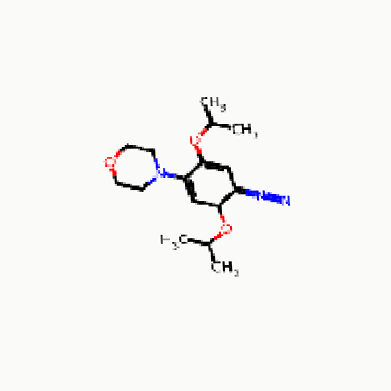 CC(C)OC1=CC(=[N+]=[N-])C(OC(C)C)C=C1N1CCOCC1